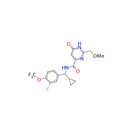 COCc1nc(C(=O)NC(c2ccc(OC(F)(F)F)c(F)c2)C2CC2)cc(=O)[nH]1